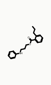 CCCc1ccccc1C(=O)OCCCNc1ccccc1